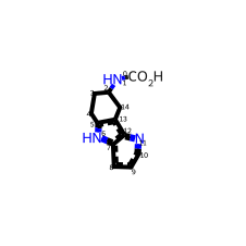 O=C(O)NC1CCc2[nH]c3cccnc3c2C1